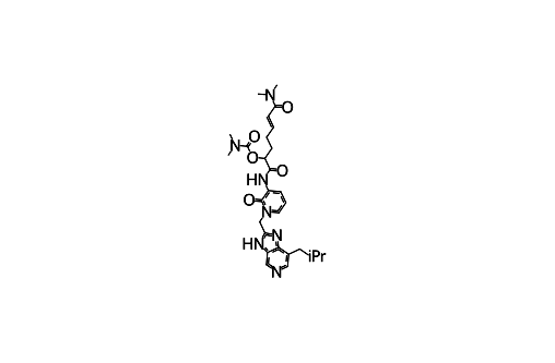 CC(C)Cc1cncc2[nH]c(Cn3cccc(NC(=O)C(CCC=CC(=O)N(C)C)OC(=O)N(C)C)c3=O)nc12